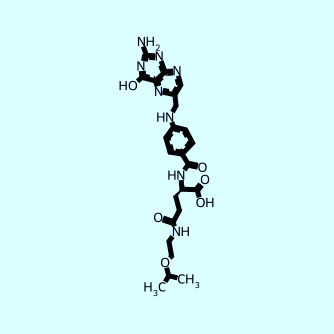 CC(C)OCCNC(=O)CC[C@@H](NC(=O)c1ccc(NCc2cnc3nc(N)nc(O)c3n2)cc1)C(=O)O